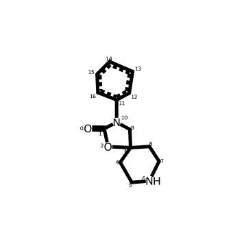 O=C1OC2(CCNCC2)CN1c1ccccc1